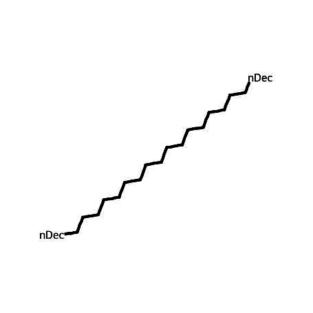 CCCCCCCCCCCCCCCCCCCCCCCCCCCCCCCCCCCCC